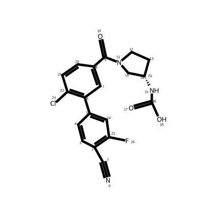 N#Cc1ccc(-c2cc(C(=O)N3CC[C@H](NC(=O)O)C3)ccc2Cl)cc1F